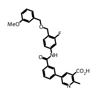 COc1cccc(COCc2ccc(NC(=O)c3cccc(-c4cnc(C)c(C(=O)O)c4)c3)cc2F)c1